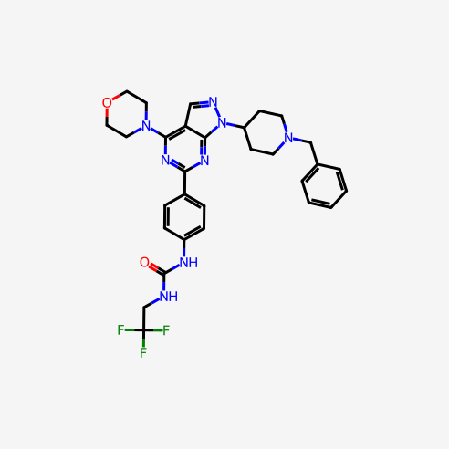 O=C(NCC(F)(F)F)Nc1ccc(-c2nc(N3CCOCC3)c3cnn(C4CCN(Cc5ccccc5)CC4)c3n2)cc1